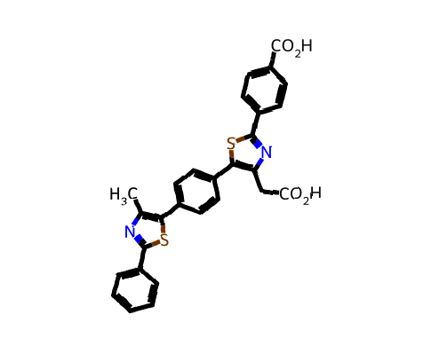 Cc1nc(-c2ccccc2)sc1-c1ccc(-c2sc(-c3ccc(C(=O)O)cc3)nc2CC(=O)O)cc1